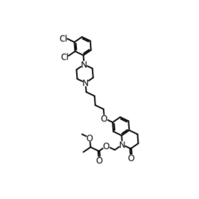 COC(C)C(=O)OCN1C(=O)CCc2ccc(OCCCCN3CCN(c4cccc(Cl)c4Cl)CC3)cc21